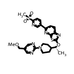 COCc1cnc(N2CCC([C@@H](C)Oc3nc4ccc(-c5ccc(S(C)(=O)=O)nc5)nc4s3)CC2)nc1